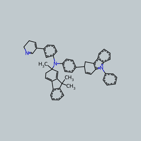 CC1(C)C2=CC(C)(N(c3ccc(C4C=Cc5c(c6ccccc6n5-c5ccccc5)C4)cc3)c3cccc(C4=CCCN=C4)c3)CC=C2c2ccccc21